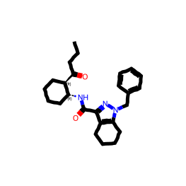 CCCC(=O)[C@@H]1CCCC[C@H]1NC(=O)c1nn(Cc2ccccc2)c2c1CCCC2